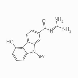 CC(C)n1c2cc(C(=O)N=C(N)N)ccc2c2c(O)cccc21